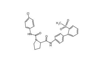 CS(=O)(=O)c1ccccc1-c1ccc(NC(=O)C2CCCN2C(=O)Nc2ccc(Cl)cc2)cc1